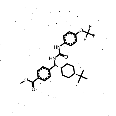 COC(=O)c1ccc(C(NC(=O)Nc2ccc(OC(F)(F)F)cc2)[C@H]2CC[C@H](C(C)(C)C)CC2)cc1